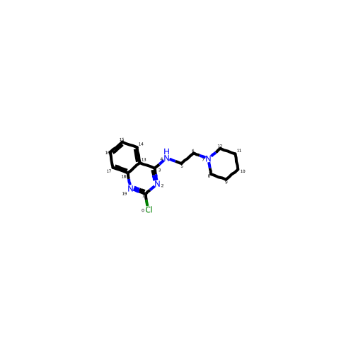 Clc1nc(NCCN2CCCCC2)c2ccccc2n1